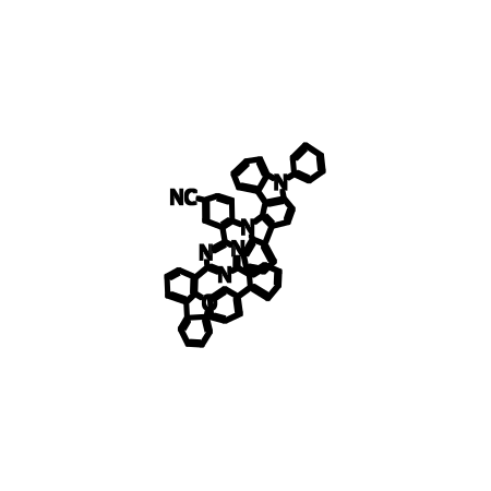 N#Cc1ccc(-n2c3ccccc3c3ccc4c(c5ccccc5n4-c4ccccc4)c32)c(-c2nc(-c3ccccc3-c3ccccc3)nc(-c3cccc4c3oc3ccccc34)n2)c1